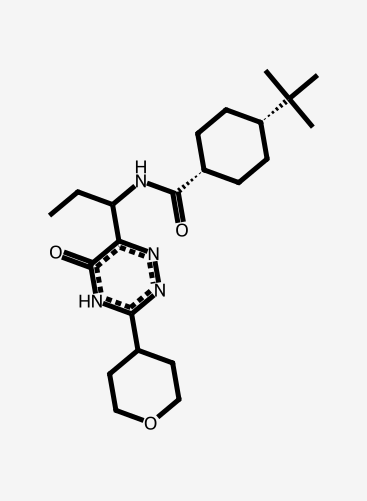 CCC(NC(=O)[C@H]1CC[C@@H](C(C)(C)C)CC1)c1nnc(C2CCOCC2)[nH]c1=O